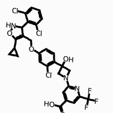 O=C(O)c1cc(N2CC(O)(c3ccc(OCC4=C(C5CC5)ONC4c4c(Cl)cccc4Cl)cc3Cl)C2)nc(C(F)(F)F)c1